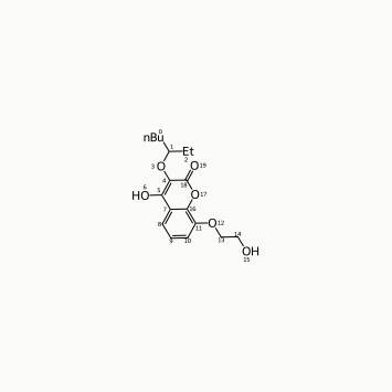 CCCCC(CC)Oc1c(O)c2cccc(OCCO)c2oc1=O